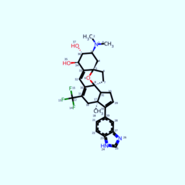 CN(C)[C@H]1C[C@@]23CC[C@@]4(O2)C(=C(C(F)(F)F)C[C@]2(C)C(c5ccc6[nH]cnc6c5)=CCC24)C=C3[C@@H](O)[C@@H]1O